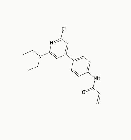 C=CC(=O)Nc1ccc(-c2cc(Cl)nc(N(CC)CC)c2)cc1